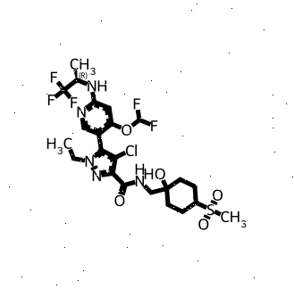 CCn1nc(C(=O)NCC2(O)CCC(S(C)(=O)=O)CC2)c(Cl)c1-c1cnc(N[C@H](C)C(F)(F)F)cc1OC(F)F